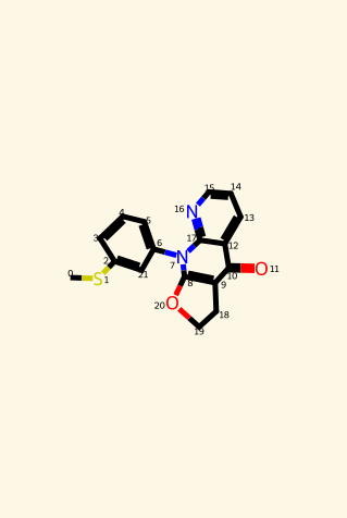 CSc1cccc(-n2c3c(c(=O)c4cccnc42)CCO3)c1